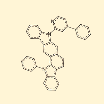 c1ccc(-c2ccnc(-n3c4ccccc4c4cc5c(ccc6c7ccccc7n(-c7ccccc7)c56)cc43)c2)cc1